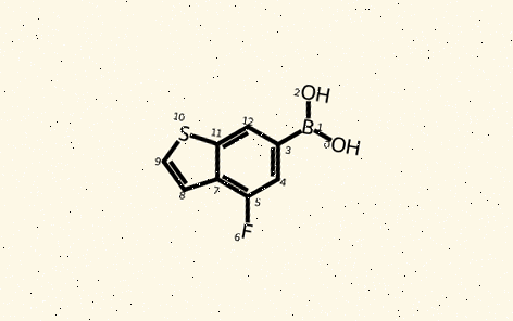 OB(O)c1cc(F)c2ccsc2c1